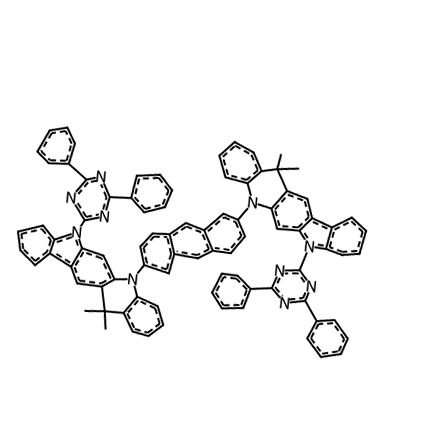 CC1(C)c2ccccc2N(c2ccc3cc4cc(N5c6ccccc6C(C)(C)c6cc7c8ccccc8n(-c8nc(-c9ccccc9)nc(-c9ccccc9)n8)c7cc65)ccc4cc3c2)c2cc3c(cc21)c1ccccc1n3-c1nc(-c2ccccc2)nc(-c2ccccc2)n1